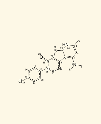 CC1=CC(N(C)C)=C2c3ncn(-c4ccc(Cl)cc4)c(=O)c3SC2N1